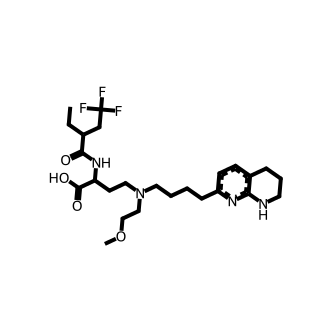 CCC(CC(F)(F)F)C(=O)NC(CCN(CCCCc1ccc2c(n1)NCCC2)CCOC)C(=O)O